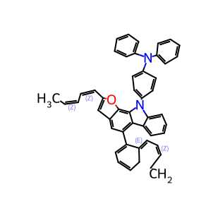 C=C/C=C\C=C1/CC=CC=C1c1cc2cc(/C=C\C=C/C)oc2c2c1c1ccccc1n2-c1ccc(N(c2ccccc2)c2ccccc2)cc1